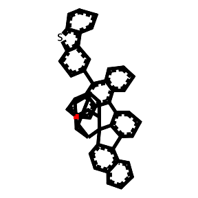 c1cc2c(c(-c3c4ccccc4c(-c4ccc5sc6ccccc6c5c4)c4ccccc34)c1)C1(c3ccc4ccccc4c3-2)C2CC3CC(C2)CC1C3